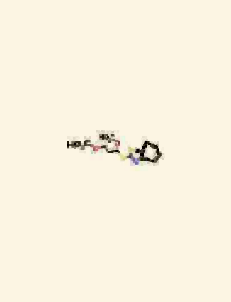 O=C(O)OCCC(OC(=O)O)Sc1nc2ccccc2s1